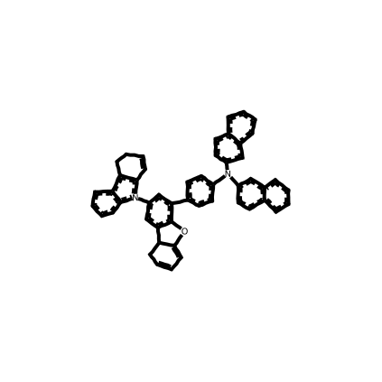 C1=CCC2C(=C1)Oc1c(-c3ccc(N(c4ccc5ccccc5c4)c4ccc5ccccc5c4)cc3)cc(-n3c4c(c5ccccc53)CCC=C4)cc12